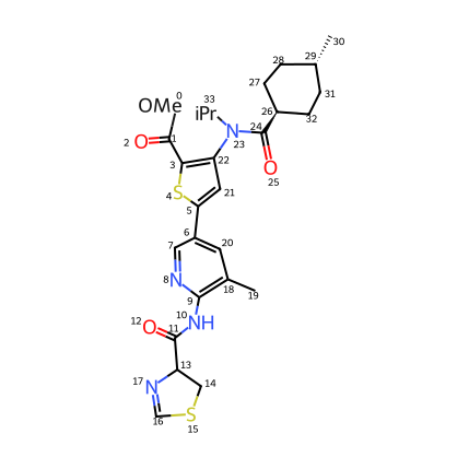 COC(=O)c1sc(-c2cnc(NC(=O)C3CSC=N3)c(C)c2)cc1N(C(=O)[C@H]1CC[C@H](C)CC1)C(C)C